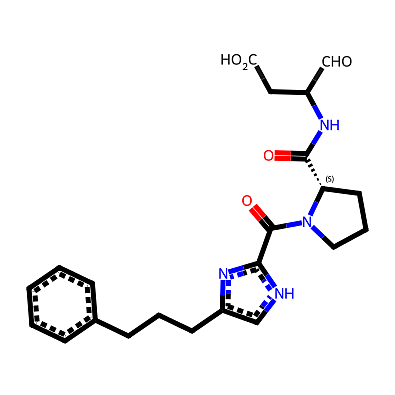 O=CC(CC(=O)O)NC(=O)[C@@H]1CCCN1C(=O)c1nc(CCCc2ccccc2)c[nH]1